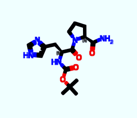 CC(C)(C)OC(=O)N[C@@H](Cc1c[nH]cn1)C(=O)N1CCC[C@H]1C(N)=O